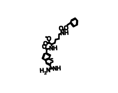 COC(=O)C(CCCCNC(=O)OCc1ccccc1)NC(=O)c1ccc2cc(C(=N)N)sc2c1